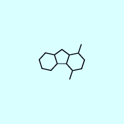 CC1CCC(C)C2C1CC1CCCCC12